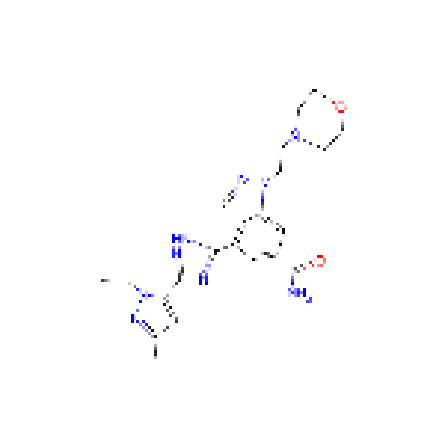 CCn1nc(C)cc1-c1n[nH]c(-c2cc(C(N)=O)cc3c2cnn3CCN2CCOCC2)n1